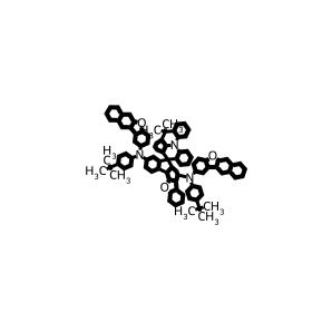 CC(C)(C)c1ccc(N(c2ccc3c(c2)C2(c4ccccc4N4c5ccccc5C(C)(C)c5cccc2c54)c2cc(N(c4ccc(C(C)(C)C)cc4)c4ccc5oc6cc7ccccc7cc6c5c4)c4c(oc5ccccc54)c2-3)c2ccc3oc4cc5ccccc5cc4c3c2)cc1